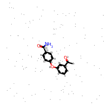 CC(=O)c1cccc(Oc2ccc(C(N)=O)cc2)c1